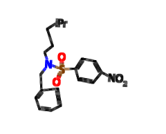 CC(C)CCCN(Cc1ccccc1)S(=O)(=O)c1ccc([N+](=O)[O-])cc1